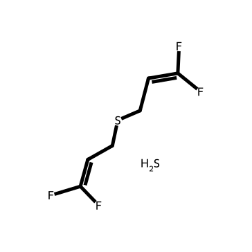 FC(F)=CCSCC=C(F)F.S